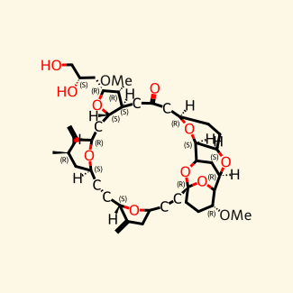 C=C1CC2CC[C@]34CC[C@@H](OC)C(O3)[C@H]3CC(O4)[C@H]4O[C@H](CC[C@@H]4O3)CC(=O)C[C@@H]3[C@@H](OC)[C@@H](C[C@H](O)CO)O[C@H]3C[C@H]3O[C@@H](CC[C@@H]1O2)C[C@@H](C)C3=C